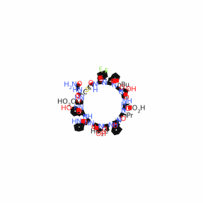 CCCC[C@H]1C(=O)N2C[C@H](O)C[C@@H]2C(=O)N[C@@H](CC(=O)O)C(=O)N[C@@H](C(C)C)C(=O)N(C)[C@@H](Cc2ccccc2)C(=O)N[C@@H](CC(=O)O)C(=O)N2C[C@H](O)C[C@@H]2C(=O)N[C@@H](Cc2c[nH]c3ccccc23)C(=O)N[C@@H](Cc2ccc(O)cc2)C(=O)N[C@@H](CCC(=O)O)C(=O)N[C@H](C(=O)NCC(N)=O)CSCC(=O)N[C@@H](Cc2ccc(F)c(F)c2)C(=O)N(C)[C@@H](Cc2ccccc2)C(=O)N1C